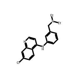 CCN(CC)Cc1[c]ccc(Nc2ccnc3cc(Cl)ccc23)c1